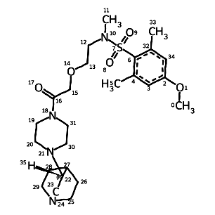 COc1cc(C)c(S(=O)(=O)N(C)CCOCC(=O)N2CCN([C@H]3CN4CCC3CC4)CC2)c(C)c1